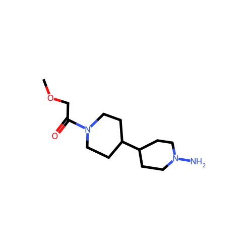 COCC(=O)N1CCC(C2CCN(N)CC2)CC1